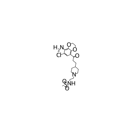 CS(=O)(=O)NCCN1CCC(CCC(=O)c2cc(Cl)c(N)c3c2OCCO3)CC1